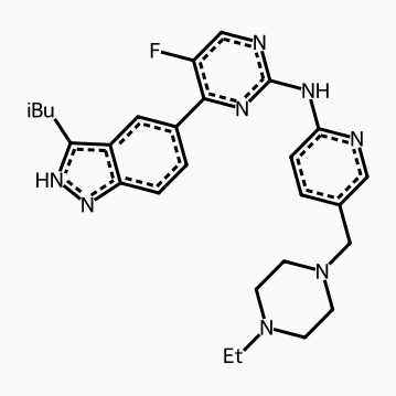 CCC(C)c1[nH]nc2ccc(-c3nc(Nc4ccc(CN5CCN(CC)CC5)cn4)ncc3F)cc12